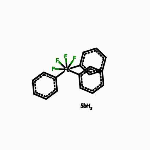 [F][Fe]([F])([F])([F])([c]1ccccc1)([c]1ccccc1)[c]1ccccc1.[SbH3]